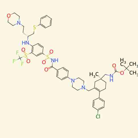 CC(C)(C)OC(=O)NC[C@@]1(C)CCC(c2ccc(Cl)cc2)=C(CN2CCN(c3ccc(C(=O)NS(=O)(=O)c4ccc(N[C@H](CCN5CCOCC5)CSc5ccccc5)c(S(=O)(=O)C(F)(F)F)c4)cc3)CC2)C1